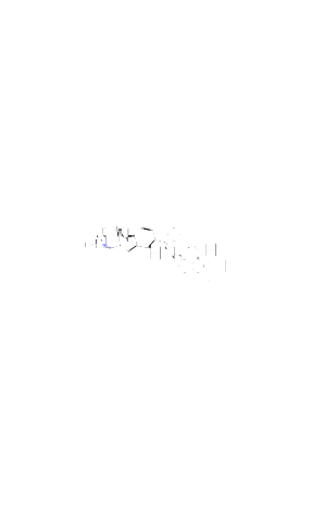 CC(C)(C)/[N+]([O-])=C\C1C=c2cc(C(=O)NC(CS)C(=O)O)ccc2=N1